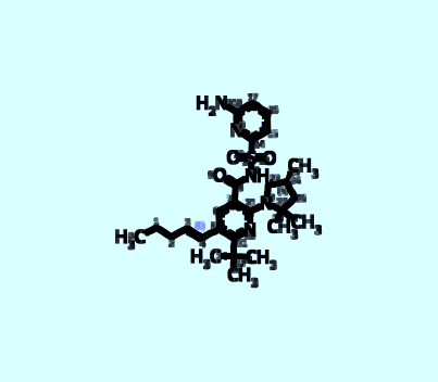 CCC/C=C/c1cc(C(=O)NS(=O)(=O)c2cccc(N)n2)c(N2C[C@@H](C)CC2(C)C)nc1C(C)(C)C